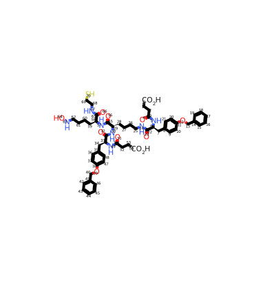 O=C(O)CCC(=O)N[C@@H](Cc1ccc(OCc2ccccc2)cc1)C(=O)NCCCC[C@H](NC(=O)[C@H](Cc1ccc(OCc2ccccc2)cc1)NC(=O)CCC(=O)O)C(=O)N[C@@H](CCCCNO)C(=O)NCCS